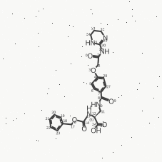 O=C(COc1ccc(C(=O)NC[C@H](NC(=O)OCc2ccccc2)C(=O)O)cc1)NC1=NCCCN1